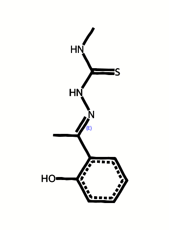 CNC(=S)N/N=C(\C)c1ccccc1O